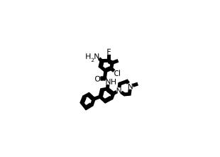 Cc1c(F)c(N)cc(C(=O)Nc2cc(-c3ccccc3)ccc2N2CCN(C)CC2)c1Cl